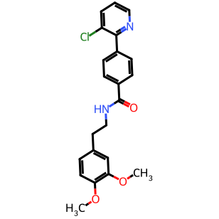 COc1ccc(CCNC(=O)c2ccc(-c3ncccc3Cl)cc2)cc1OC